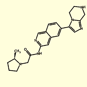 C[C@@H]1CCCN1CC(=O)Nc1cc2cc(-c3cnc4n3CCNC4)ccc2cn1